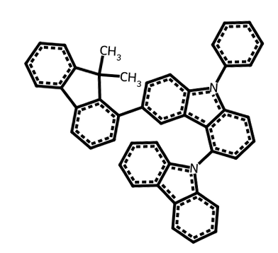 CC1(C)c2ccccc2-c2cccc(-c3ccc4c(c3)c3c(-n5c6ccccc6c6ccccc65)cccc3n4-c3ccccc3)c21